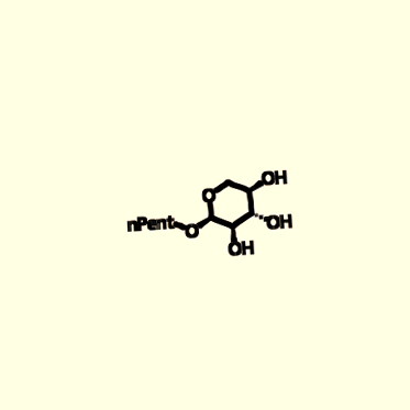 CCCCCO[C@H]1OC[C@@H](O)[C@H](O)[C@H]1O